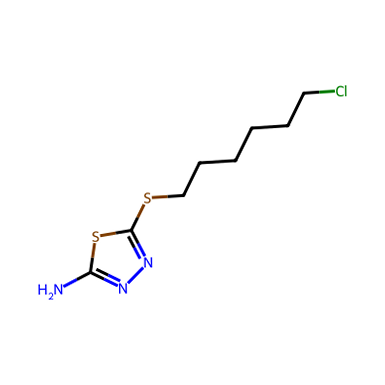 Nc1nnc(SCCCCCCCl)s1